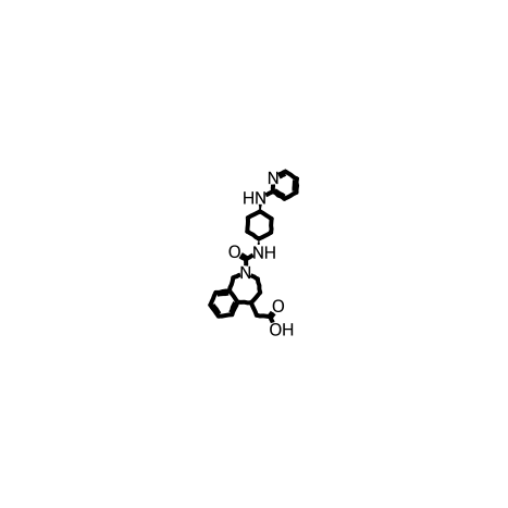 O=C(O)CC1CCN(C(=O)N[C@H]2CC[C@H](Nc3ccccn3)CC2)Cc2ccccc21